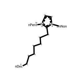 CCCCCCCCCCCCCCCCCc1n(CCCCCCCCC)cc[n+]1CCCCC